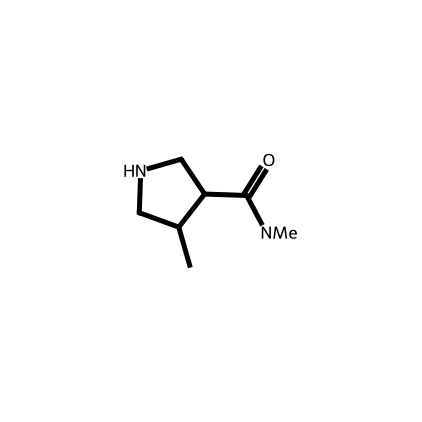 CNC(=O)C1CNCC1C